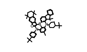 Cc1cc2c3c(c1)N(C1CCC(C(C)(C)C)CC1)c1c(ccc4c1C(C)(C)c1ccccc1-4)B3c1c(oc3cc4c(cc13)C(C)(C)CCC4(C)C)N2c1ccc(C(C)(C)C)cc1